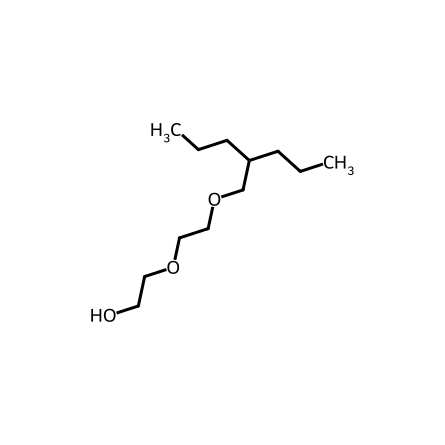 CCCC(CCC)COCCOCCO